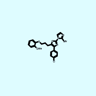 CCCc1nccn1-c1nc(-c2ccc(Cl)cc2)c(CCCOc2ccccc2OC)o1